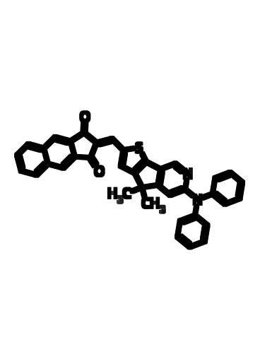 CC1(C)c2cc(N(c3ccccc3)c3ccccc3)ncc2-c2sc(C=C3C(=O)c4cc5ccccc5cc4C3=O)cc21